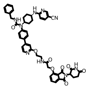 N#Cc1ccc(N[C@H]2CC[C@H](N(C(=O)NCc3ccccc3)c3ccc(-c4ccnc(OCCNC(=O)COc5cccc6c5C(=O)N(C5CCC(=O)NC5=O)C6=O)c4)cc3)CC2)nc1